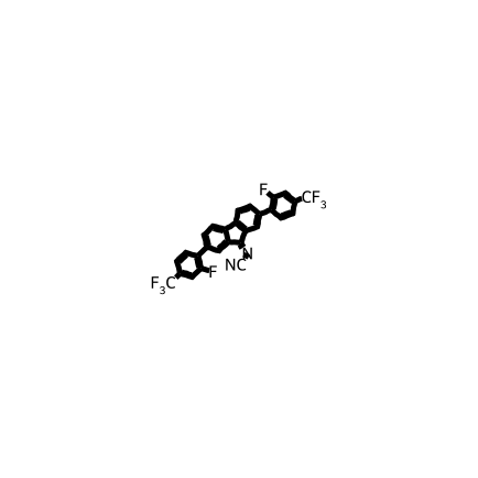 N#CN=C1c2cc(-c3ccc(C(F)(F)F)cc3F)ccc2-c2ccc(-c3ccc(C(F)(F)F)cc3F)cc21